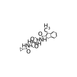 CC1=C(C(=O)N[C@H]2CO[C@H]3[C@@H]2OC[C@@H]3NC(=O)C2CC2)Cc2ccccc21